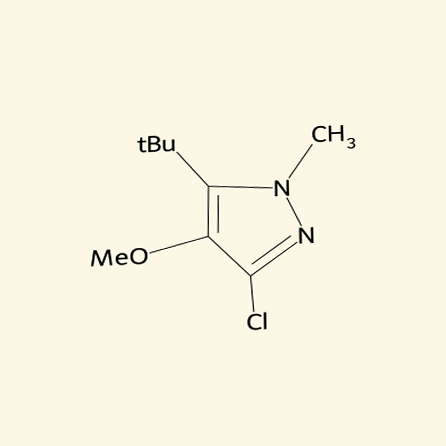 COc1c(Cl)nn(C)c1C(C)(C)C